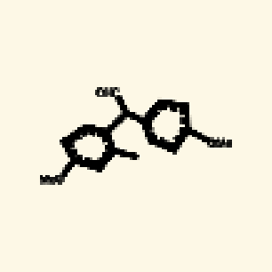 COc1ccc(C(C=O)c2ccc(OC)cc2C)cc1